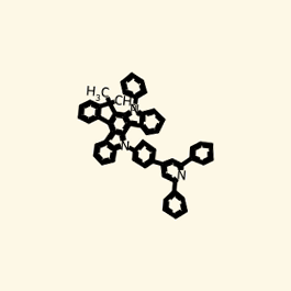 CC1(C)c2ccccc2-c2c1c1c(c3ccccc3n1-c1ccccc1)c1c2c2ccccc2n1-c1ccc(-c2cc(-c3ccccc3)nc(-c3ccccc3)c2)cc1